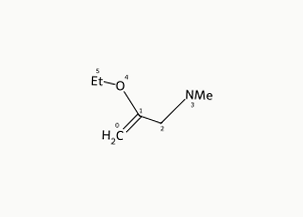 C=C(CNC)OCC